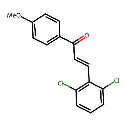 COc1ccc(C(=O)/C=C/c2c(Cl)cccc2Cl)cc1